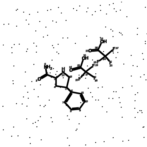 NC(=O)C1CC(c2ccccc2)CN1.O=C(O)C(F)(F)F.O=C(O)C(F)(F)F